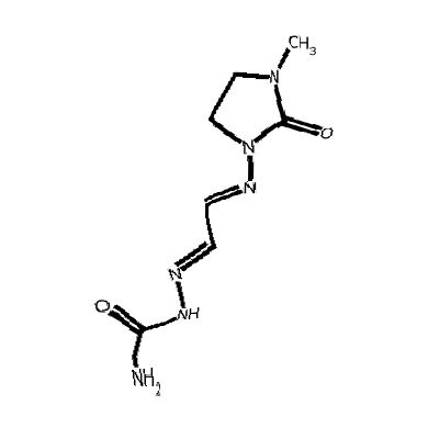 CN1CCN(/N=C/C=N/NC(N)=O)C1=O